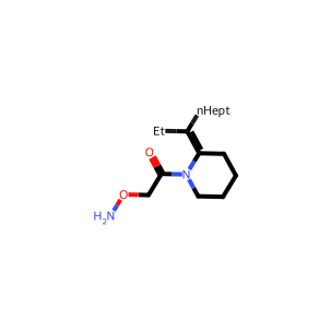 CCCCCCCC(CC)=C1CCCCN1C(=O)CON